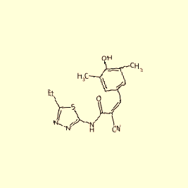 CCc1nnc(NC(=O)C(C#N)=Cc2cc(C)c(O)c(C)c2)s1